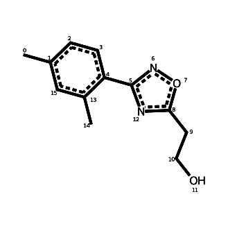 Cc1ccc(-c2noc(CCO)n2)c(C)c1